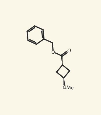 CO[C@H]1C[C@@H](C(=O)OCc2ccccc2)C1